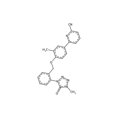 Cc1cc(-c2cccc(C#N)n2)ccc1OCc1ccccc1-n1nnn(C)c1=O